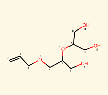 C=CCOCC(CO)OC(CO)CO